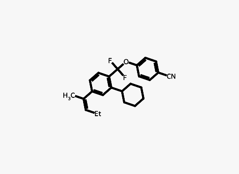 CC/C=C(/C)c1ccc(C(F)(F)Oc2ccc(C#N)cc2)c(C2CCCCC2)c1